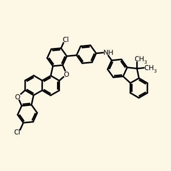 CC1(C)c2ccccc2-c2ccc(Nc3ccc(-c4c(Cl)ccc5c4oc4ccc6c(ccc7oc8cc(Cl)ccc8c76)c45)cc3)cc21